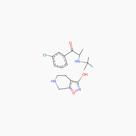 CC(NC(C)(C)C)C(=O)c1cccc(Cl)c1.Oc1noc2c1CCNC2